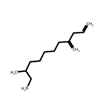 C=CCC(=C)CCCCCC(C)CN